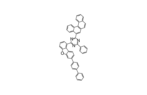 c1ccc(-c2ccc(-c3ccc4c(c3)oc3cccc(-c5nc(-c6ccccc6)nc(-c6cc7ccc8ccccc8c7c7ccccc67)n5)c34)cc2)cc1